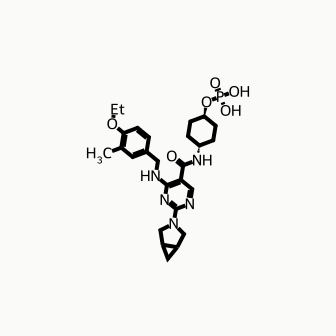 CCOc1ccc(CNc2nc(N3CC4CC4C3)ncc2C(=O)N[C@H]2CC[C@H](OP(=O)(O)O)CC2)cc1C